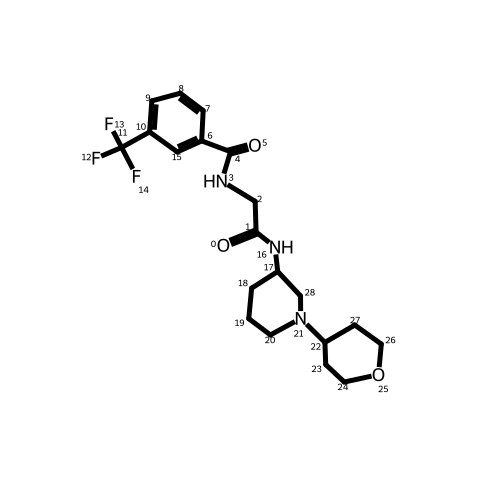 O=C(CNC(=O)c1cccc(C(F)(F)F)c1)NC1CCCN(C2CCOCC2)C1